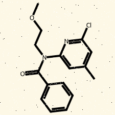 COCCN(C(=O)c1ccccc1)c1cc(C)cc(Cl)n1